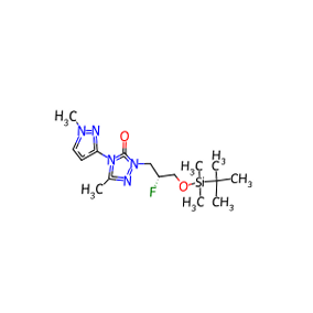 Cc1nn(C[C@@H](F)CO[Si](C)(C)C(C)(C)C)c(=O)n1-c1ccn(C)n1